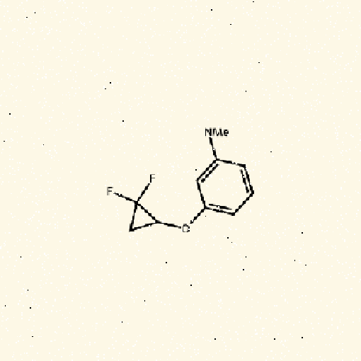 CNc1cccc(OC2CC2(F)F)c1